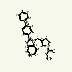 O=C(CC(F)(F)F)N1CCC(Cn2c(-c3ccc(-c4ccccc4)cc3)nc3cnccc32)C1